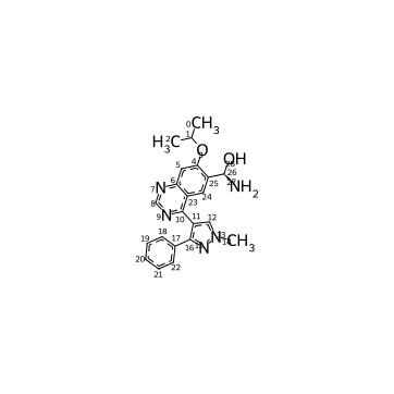 CC(C)Oc1cc2ncnc(-c3cn(C)nc3-c3ccccc3)c2cc1[C@H](N)O